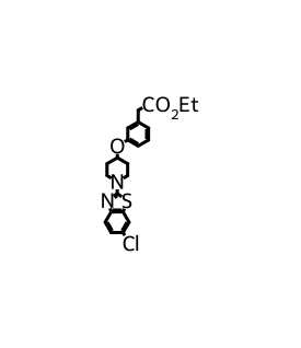 CCOC(=O)Cc1cccc(OC2CCN(c3nc4ccc(Cl)cc4s3)CC2)c1